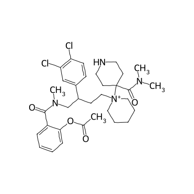 CC(=O)Oc1ccccc1C(=O)N(C)CC(CC[N+]1(C2(C(=O)N(C)C)CCNCC2)CCCCC1)c1ccc(Cl)c(Cl)c1